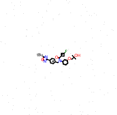 CC(C)(O)COc1cccc(N(CC23CCC(c4noc(C(C)(C)C)n4)(CC2)CC3)C(=O)C23CC(F)(C2)C3)c1